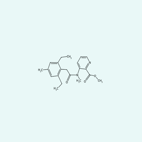 CCc1cc(C)cc(CC)c1CC(=O)N(C)c1cccnc1C(=O)OC